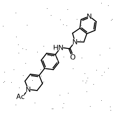 CC(=O)N1CC=C(c2ccc(NC(=O)N3Cc4ccncc4C3)cc2)CC1